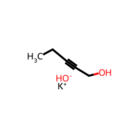 CCC#CCO.[K+].[OH-]